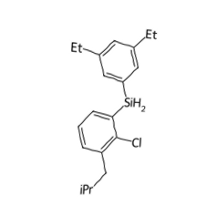 CCc1cc(CC)cc([SiH2]c2cccc(CC(C)C)c2Cl)c1